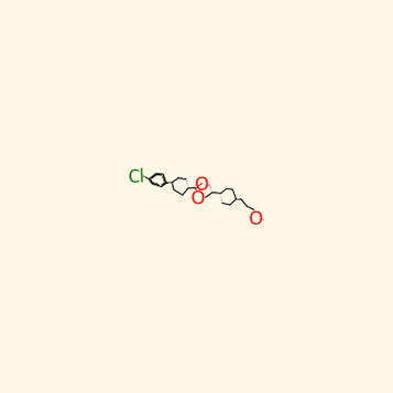 COCCC[C@H]1CC[C@H]([C@H]2CO[C@H]([C@H]3CC[C@H](c4ccc(Cl)cc4)CC3)OC2)CC1